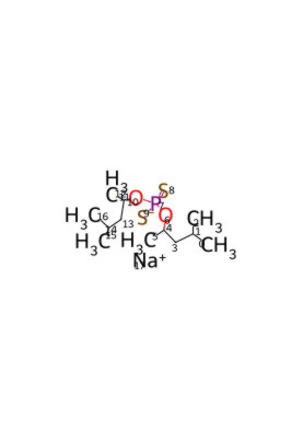 CC(C)CC(C)OP(=S)([S-])OC(C)CC(C)C.[Na+]